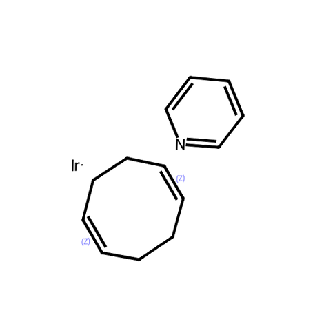 C1=C\CC/C=C\CC/1.[Ir].c1ccncc1